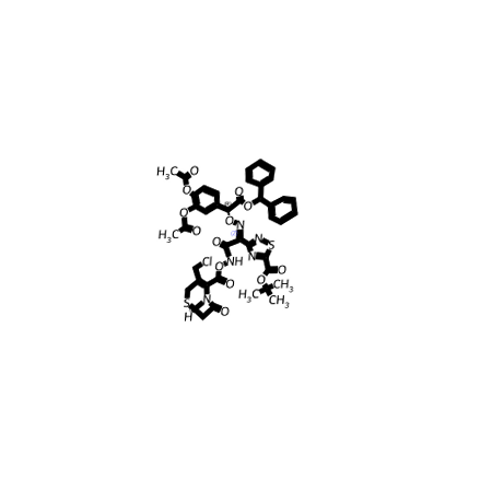 CC(=O)Oc1ccc([C@@H](O/N=C(\C(=O)NOC(=O)C2=C(CCl)CS[C@H]3CC(=O)N23)c2nsc(C(=O)OC(C)(C)C)n2)C(=O)OC(c2ccccc2)c2ccccc2)cc1OC(C)=O